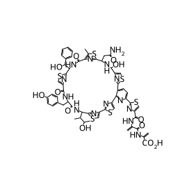 C=C(NC(=O)C(=C)NC(=O)c1csc(-c2ccc3c(n2)-c2csc(n2)-c2csc(n2)C(C(C)C(C)O)NC(=O)C(Cc2ccc(O)cc2)NC(=O)c2csc(n2)C(C(O)c2ccccc2)NC(=O)c2nc(sc2C)C(CC(N)=O)NC(O)c2csc-3n2)n1)C(=O)O